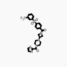 O=C(c1ccc(S(=O)(=O)c2cccc(C(F)(F)F)c2)cc1)N1CC(N2CCN(C(=O)c3nccs3)CC2)C1